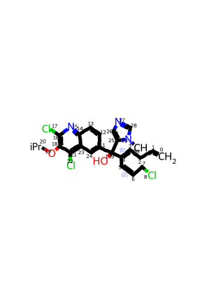 C=CC/C=C(\C=C/CCl)C(O)(c1ccc2nc(Cl)c(OC(C)C)c(Cl)c2c1)c1cncn1C